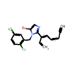 C#C/C=C\C=C(/C=C)c1ncc(Br)n1Cc1cc(Cl)ccc1Cl